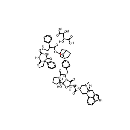 CCC1(c2ccccc2)C(=O)NC(=O)NC1=O.CN1C2CCC1CC(OC(=O)C(CO)c1ccccc1)C2.CN1C[C@H](C(=O)N[C@]2(C)O[C@@]3(O)[C@@H]4CCCN4C(=O)[C@H](Cc4ccccc4)N3C2=O)C=C2c3cccc4[nH]cc(c34)C[C@H]21.O=C(O)C(O)C(O)C(=O)O